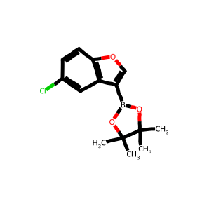 CC1(C)OB(c2coc3ccc(Cl)cc23)OC1(C)C